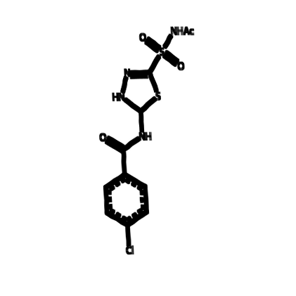 CC(=O)NS(=O)(=O)C1=NNC(NC(=O)c2ccc(Cl)cc2)S1